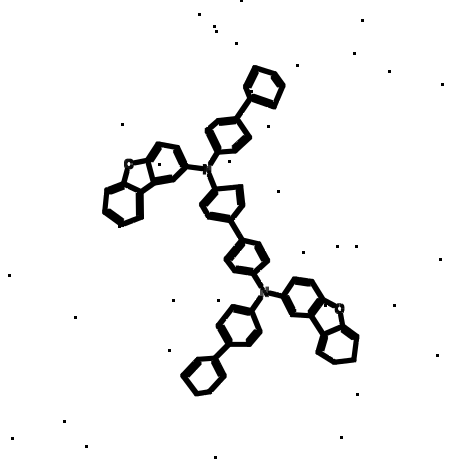 C1=CC(c2ccc(N(c3ccc(-c4ccc(N(c5ccc(-c6ccccc6)cc5)c5ccc6oc7ccccc7c6c5)cc4)cc3)c3ccc4oc5c(c4c3)=CCCC=5)cc2)=CCC1